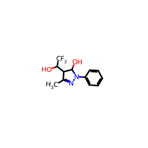 CC1=NN(c2ccccc2)C(O)C1C(O)C(F)(F)F